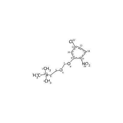 C[Si](C)(C)CCOCOc1cc(Cl)ccc1[N+](=O)[O-]